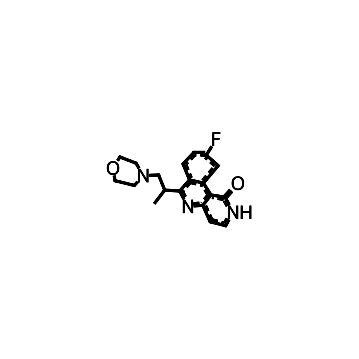 CC(CN1CCOCC1)c1nc2cc[nH]c(=O)c2c2cc(F)ccc12